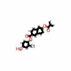 C=C(C)C(=O)Oc1ccc2cc(C(=O)Oc3ccc(O)cc3CC)ccc2c1